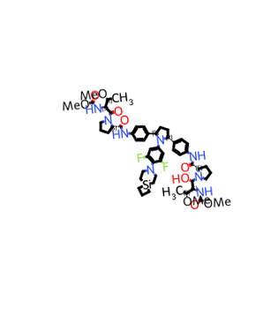 COC(=O)N[C@H](C(=O)N1CCC[C@H]1C(=O)Nc1ccc([C@H]2CC[C@H](c3ccc(NC(=O)[C@@H]4CCCN4C(O)[C@@H](NC(=O)OC)[C@@H](C)OC)cc3)N2c2cc(F)c(N3CC[Si]4(CCC4)CC3)c(F)c2)cc1)[C@@H](C)OC